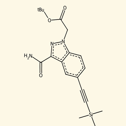 CC(C)(C)OC(=O)Cn1nc(C(N)=O)c2cc(C#C[Si](C)(C)C)ccc21